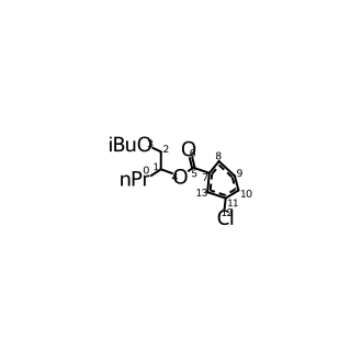 CCCC(COCC(C)C)OC(=O)c1cccc(Cl)c1